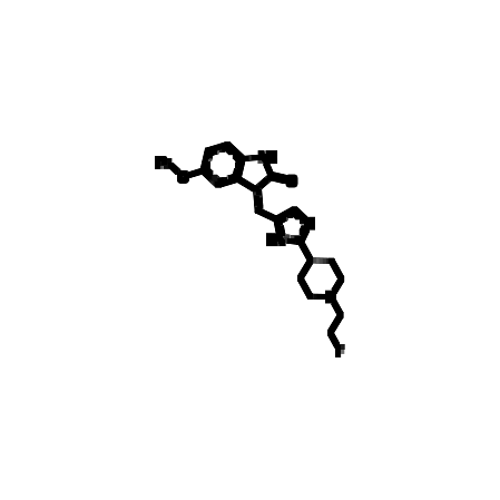 CC(C)Oc1ccc2c(c1)/C(=C/c1cnc(C3CCN(CCF)CC3)[nH]1)C(=O)N2